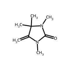 C=C1N(C)C(=O)N(C)C1(C)C